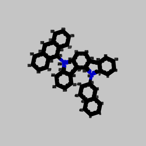 c1ccc2cc(-n3c4ccccc4c4ccc5c(c6ccccc6n5-c5c6ccccc6cc6ccccc56)c43)ccc2c1